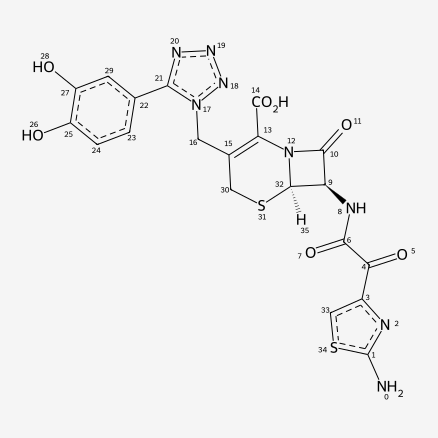 Nc1nc(C(=O)C(=O)N[C@@H]2C(=O)N3C(C(=O)O)=C(Cn4nnnc4-c4ccc(O)c(O)c4)CS[C@H]23)cs1